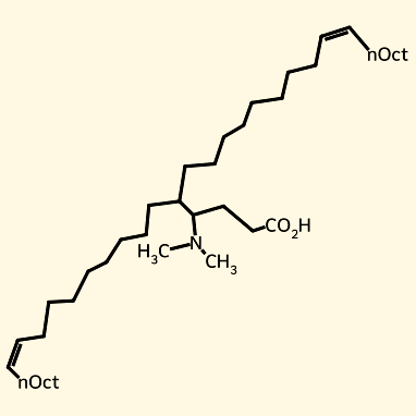 CCCCCCCC/C=C\CCCCCCCCC(CCCCCCCC/C=C\CCCCCCCC)C(CCC(=O)O)N(C)C